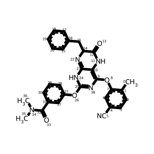 Cc1ccc(C#N)cc1OC1=C2NC(=O)C(Cc3ccccc3)N=C2NC(Oc2cccc(C(=O)N(C)C)c2)=N1